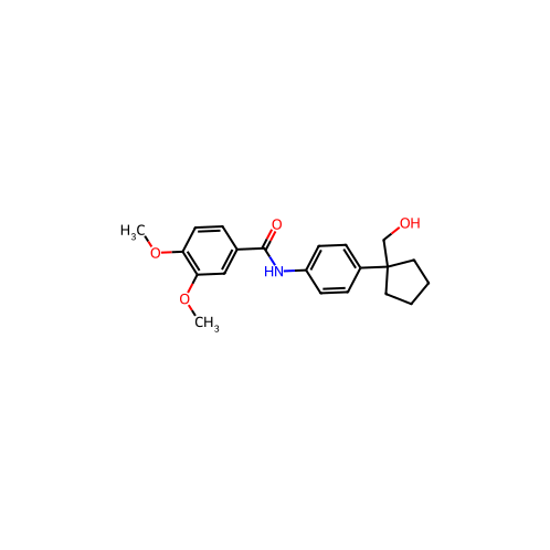 COc1ccc(C(=O)Nc2ccc(C3(CO)CCCC3)cc2)cc1OC